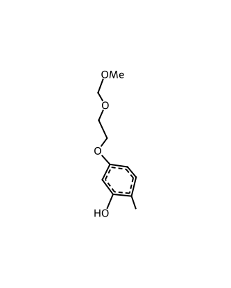 COCOCCOc1ccc(C)c(O)c1